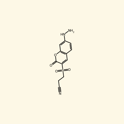 N#CCCS(=O)(=O)c1cc2ccc(NN)cc2oc1=O